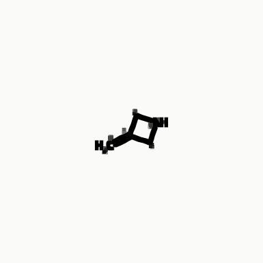 C=C1CNC1